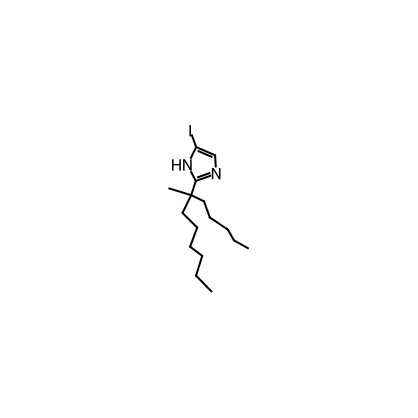 CCCCCCC(C)(CCCCC)c1ncc(I)[nH]1